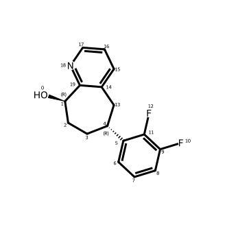 O[C@@H]1CC[C@@H](c2cccc(F)c2F)Cc2cccnc21